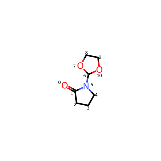 O=C1CCCN1C1OCCO1